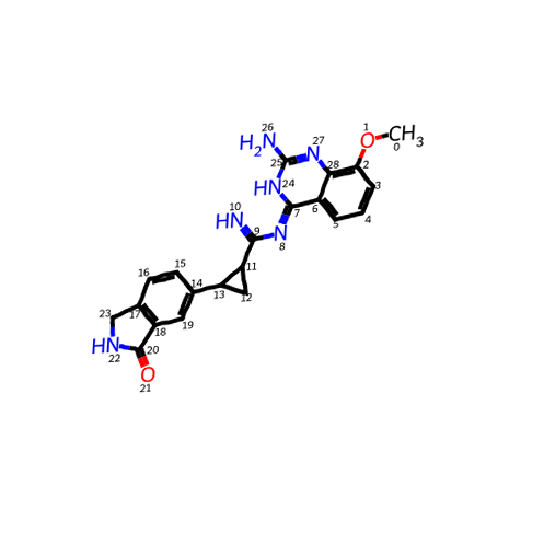 COc1cccc2/c(=N/C(=N)C3CC3c3ccc4c(c3)C(=O)NC4)[nH]c(N)nc12